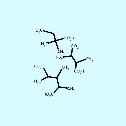 CC(C(=O)O)C(C)C(=O)O.CC(C(=O)O)C(C)C(C)C(=O)O.CC(C)(CC(=O)O)C(=O)O